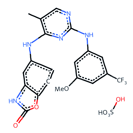 COc1cc(Nc2ncc(C)c(Nc3ccc4oc(=O)[nH]c4c3)n2)cc(C(F)(F)F)c1.O=S(=O)(O)O